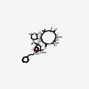 CC[C@H]1OC(=O)[C@H](C)[C@@H](O[C@H]2C[C@@](C)(OC)[C@@H](O)[C@H](C)O2)[C@H](C)[C@@H](O[C@@H]2O[C@H](C)C[C@H](N(C)Cc3cnn(CCc4ccccc4)c3)[C@H]2O)C(C)(C)C[C@@H](C)C(=O)[C@H](C)[C@@H](O)[C@]1(C)O